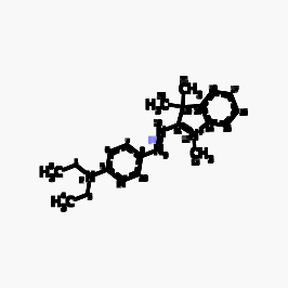 CCN(CC)c1ccc(/N=N/C2=[N+](C)c3ccccc3C2(C)C)cc1